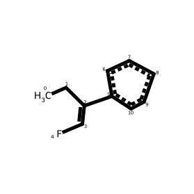 CCC(=CF)c1ccccc1